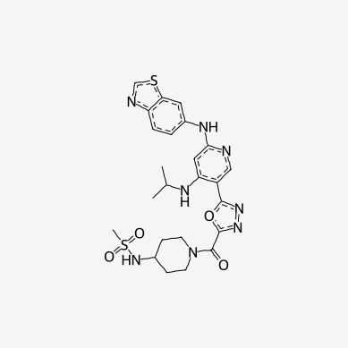 CC(C)Nc1cc(Nc2ccc3ncsc3c2)ncc1-c1nnc(C(=O)N2CCC(NS(C)(=O)=O)CC2)o1